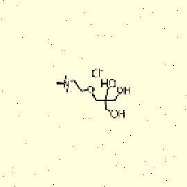 C[N+](C)(C)CCOCC(CO)(CO)CO.[Cl-]